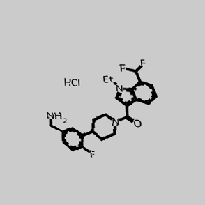 CCn1cc(C(=O)N2CCC(c3cc(CN)ccc3F)CC2)c2cccc(C(F)F)c21.Cl